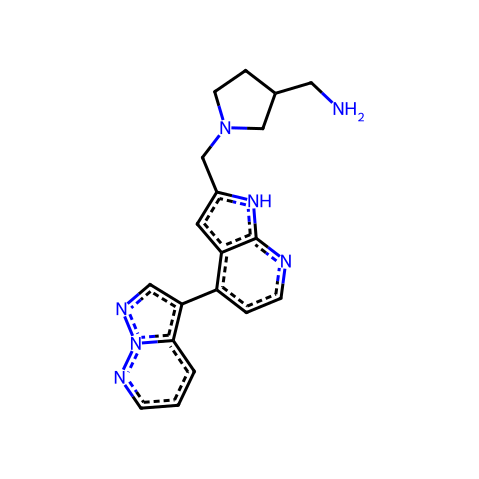 NCC1CCN(Cc2cc3c(-c4cnn5ncccc45)ccnc3[nH]2)C1